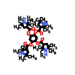 CC1(C)CC(C(=O)OC2CC(OC(=O)C3CC(C)(C)NC3(C)C)C(OC(=O)C3CC(C)(C)NC3(C)C)CC2OC(=O)C2CC(C)(C)NC2(C)C)C(C)(C)N1